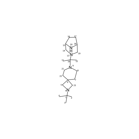 CC(C)(C)N1CC2(CCN(C(C)(C)N3CC4CCC(C3)N4)CC2)C1